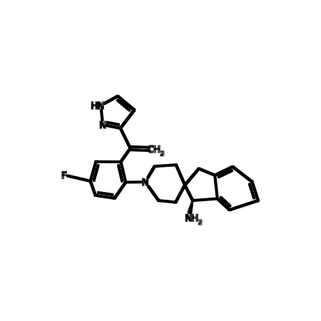 C=C(c1cc[nH]n1)c1cc(F)ccc1N1CCC2(CC1)Cc1ccccc1[C@H]2N